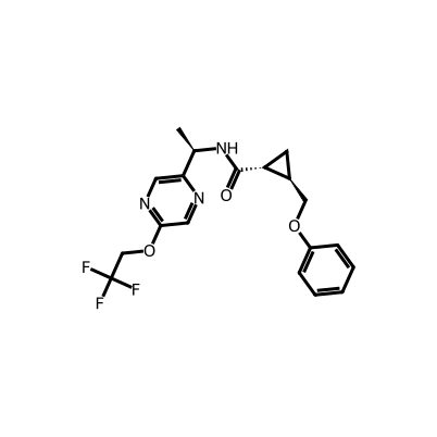 C[C@@H](NC(=O)[C@@H]1C[C@H]1COc1ccccc1)c1cnc(OCC(F)(F)F)cn1